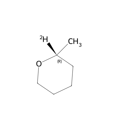 [2H][C@@]1(C)CCCCO1